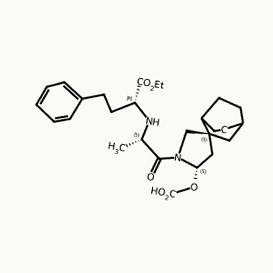 CCOC(=O)[C@@H](CCc1ccccc1)N[C@@H](C)C(=O)N1C[C@@]2(CC3CCC2CC3)C[C@@H]1OC(=O)O